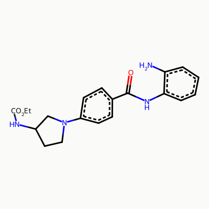 CCOC(=O)NC1CCN(c2ccc(C(=O)Nc3ccccc3N)cc2)C1